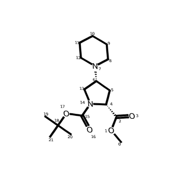 COC(=O)[C@H]1C[C@@H](N2CCCCC2)CN1C(=O)OC(C)(C)C